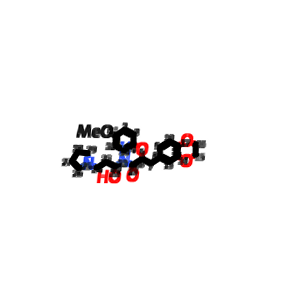 COc1ccc(OC(Cc2ccc3c(c2)OCCO3)C(=O)N[C@H](O)CCN2CCCC2)cc1